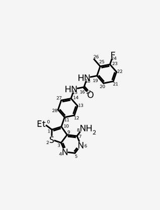 CCc1sc2ncnc(N)c2c1-c1ccc(NC(=O)Nc2cccc(F)c2C)cc1